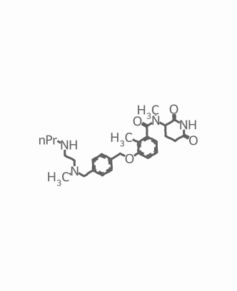 CCCNCCN(C)Cc1ccc(COc2cccc(C(=O)N(C)C3CCC(=O)NC3=O)c2C)cc1